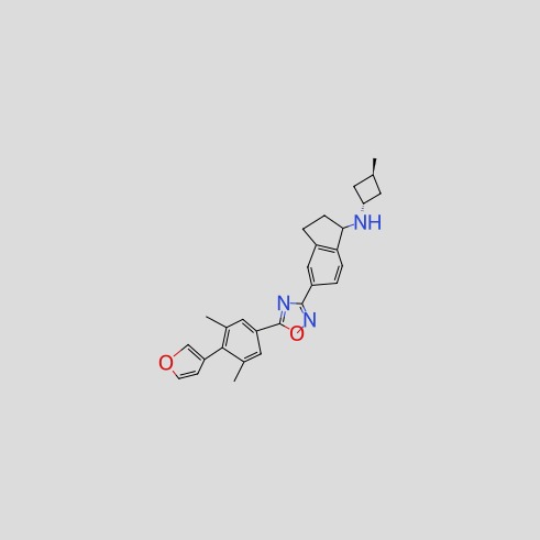 Cc1cc(-c2nc(-c3ccc4c(c3)CCC4N[C@H]3C[C@H](C)C3)no2)cc(C)c1-c1ccoc1